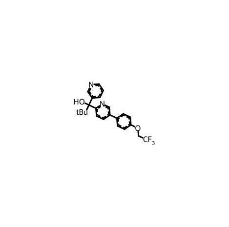 CC(C)(C)C(O)(c1cccnc1)c1ccc(-c2ccc(OCC(F)(F)F)cc2)cn1